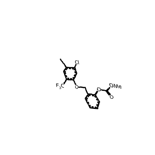 COC(=O)Oc1ccccc1COc1cc(Cl)c(C)cc1C(F)(F)F